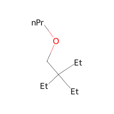 CCCOCC(CC)(CC)CC